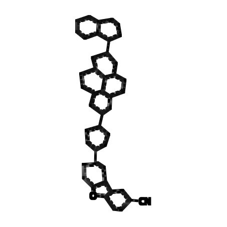 N#Cc1ccc2oc3ccc(-c4ccc(-c5cc6ccc7cc(-c8cccc9ccccc89)cc8ccc(c5)c6c78)cc4)cc3c2c1